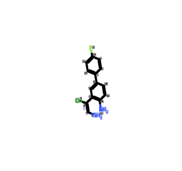 N/C=C(/Cl)c1cc(-c2ccc(F)cc2)ccc1N